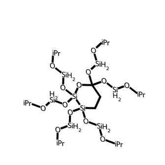 CC(C)O[SiH2]OC1(O[SiH2]OC(C)C)CC[Si](O[SiH2]OC(C)C)(O[SiH2]OC(C)C)[Si](O[SiH2]OC(C)C)(O[SiH2]OC(C)C)O1